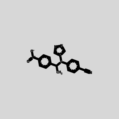 CC(c1ccc([N+](=O)[O-])cc1)N(c1ccc(C#N)cc1)n1cnnc1